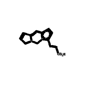 O=C(O)CCc1ccc2n1CN1CC=CC1=C2